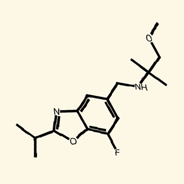 COCC(C)(C)NCc1cc(F)c2oc(C(C)C)nc2c1